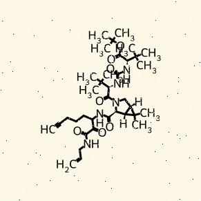 C#CCCCC(NC(=O)[C@@H]1[C@@H]2[C@H](CN1C(=O)[C@@H](NC(=O)N[C@H](C(=O)OC(C)(C)C)C(C)(C)C)C(C)(C)C)C2(C)C)C(=O)C(=O)NCC=C